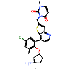 Cc1cc(Cl)cc(-c2ccnc3cc(Cn4c(=O)ccn(C)c4=O)sc23)c1O[C@@H]1CC[C@](C)(N)C1